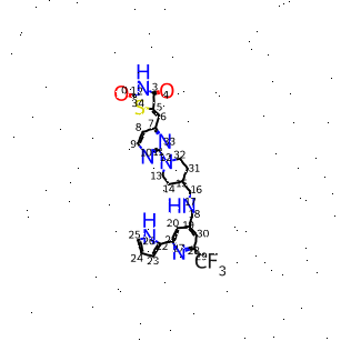 O=C1NC(=O)/C(=C/c2ccnc(N3CCC(CNCc4cc(-c5ccc[nH]5)nc(C(F)(F)F)c4)CC3)n2)S1